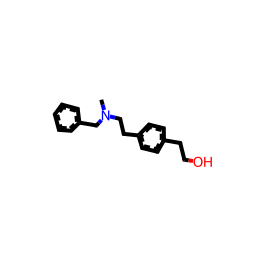 CN(CCc1ccc(CCO)cc1)Cc1ccccc1